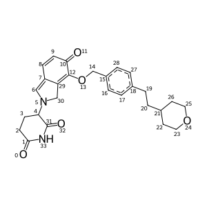 O=C1CCC(N2C=C3C=CC(=O)C(OCc4ccc(CCC5CCOCC5)cc4)=C3C2)C(=O)N1